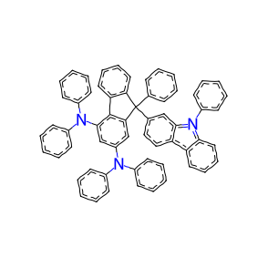 c1ccc(N(c2ccccc2)c2cc(N(c3ccccc3)c3ccccc3)c3c(c2)C(c2ccccc2)(c2ccc4c5ccccc5n(-c5ccccc5)c4c2)c2ccccc2-3)cc1